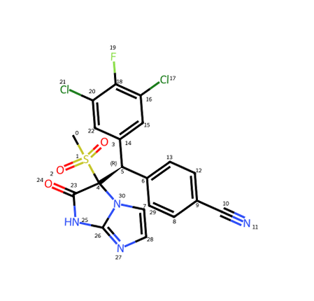 CS(=O)(=O)C1([C@H](c2ccc(C#N)cc2)c2cc(Cl)c(F)c(Cl)c2)C(=O)Nc2nccn21